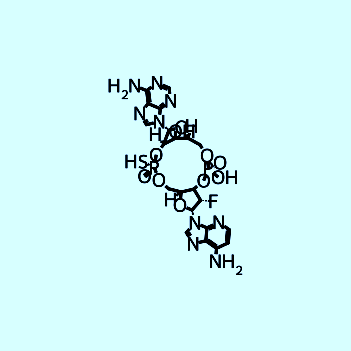 Nc1ccnc2c1ncn2[C@@H]1O[C@@H]2CO[P@@](=O)(S)O[C@H]3C(O)[C@@H](COP(=O)(O)OC2[C@@H]1F)O[C@H]3n1cnc2c(N)ncnc21